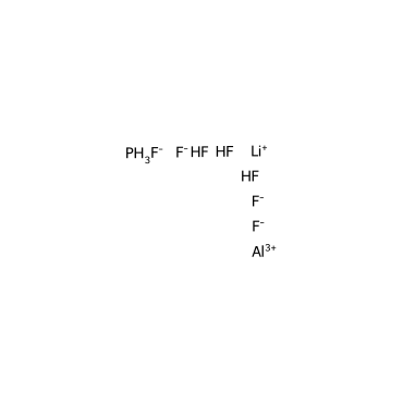 F.F.F.P.[Al+3].[F-].[F-].[F-].[F-].[Li+]